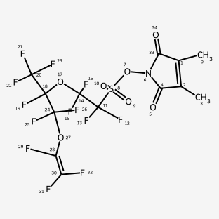 CC1=C(C)C(=O)N(OS(=O)(=O)C(F)(F)C(F)(F)OC(F)(C(F)(F)F)C(F)(F)OC(F)=C(F)F)C1=O